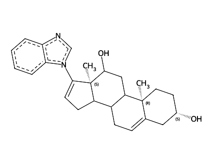 C[C@@]12C(n3cnc4ccccc43)=CCC1C1CC=C3C[C@@H](O)CC[C@]3(C)C1CC2O